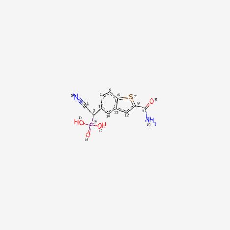 N#CC(c1ccc2sc(C(N)=O)cc2c1)P(=O)(O)O